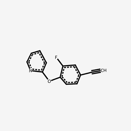 C#Cc1ccc(Oc2ccccn2)c(F)c1